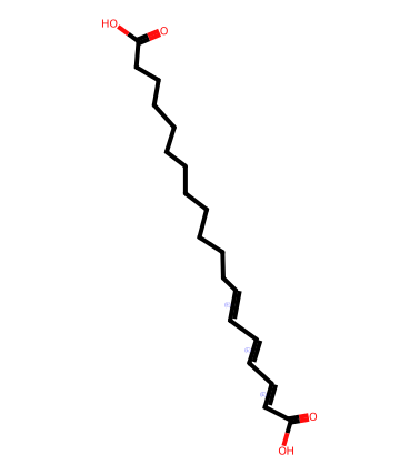 O=C(O)/C=C/C=C/C=C/CCCCCCCCCCCC(=O)O